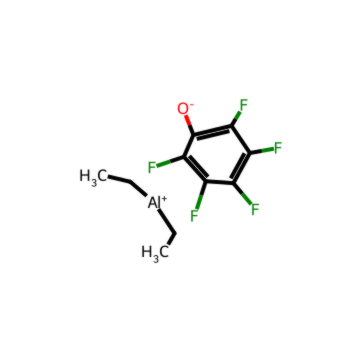 C[CH2][Al+][CH2]C.[O-]c1c(F)c(F)c(F)c(F)c1F